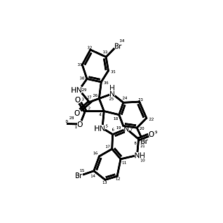 COC(=O)C1(Nc2nc(=O)[nH]c3ccc(Br)cc23)c2cc(Br)ccc2NC12C(=O)Nc1ccc(Br)cc12